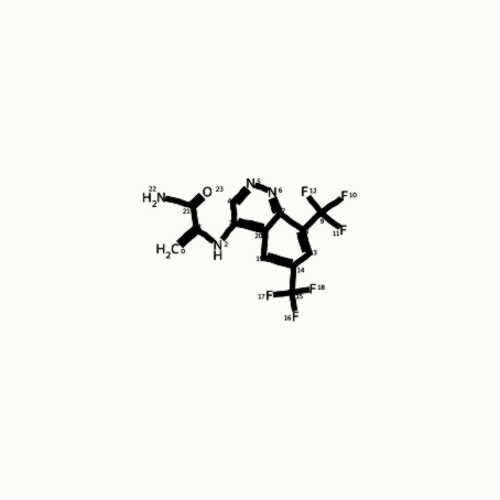 C=C(Nc1cnnc2c(C(F)(F)F)cc(C(F)(F)F)cc12)C(N)=O